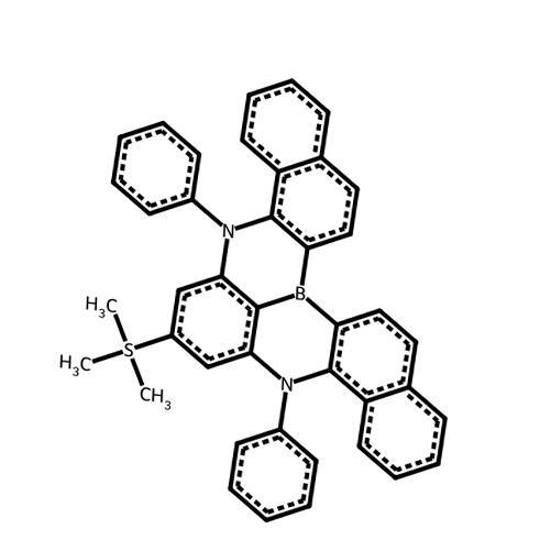 CS(C)(C)c1cc2c3c(c1)N(c1ccccc1)c1c(ccc4ccccc14)B3c1ccc3ccccc3c1N2c1ccccc1